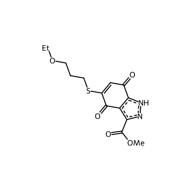 CCOCCCSC1=CC(=O)c2[nH]nc(C(=O)OC)c2C1=O